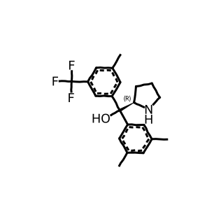 Cc1cc(C)cc(C(O)(c2cc(C)cc(C(F)(F)F)c2)[C@H]2CCCN2)c1